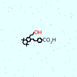 CC1(C)CCC(C)(C)c2cc(CCCO)c(C=Cc3ccc(C(=O)O)cc3)cc21